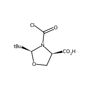 CC(C)(C)[C@@H]1OC[C@H](C(=O)O)N1C(=O)Cl